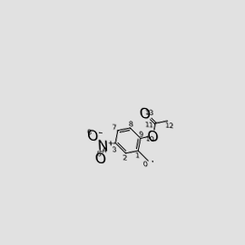 [CH2]c1cc([N+](=O)[O-])ccc1OC(C)=O